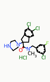 CN(Cc1cc(F)cc(Cl)c1)C(=O)C1(N2CCNCC2)Cc2cc(Cl)c(Cl)cc2C1.Cl